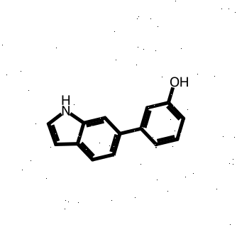 Oc1cc[c]c(-c2ccc3cc[nH]c3c2)c1